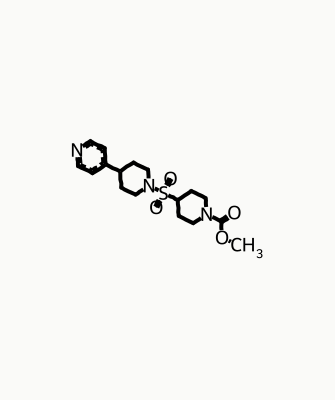 COC(=O)N1CCC(S(=O)(=O)N2CCC(c3ccncc3)CC2)CC1